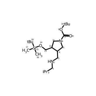 CC(C)CNCC1CN(C(=O)OC(C)(C)C)CC1CO[Si](C)(C)C(C)(C)C